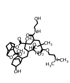 CC1C2CC(O)C(C2)C1CC(CC(C)(CC(CC(C)(C)C(=O)OCCN(C)C)C(=O)NCCO)C(=O)OC1C2CC3C(=O)OC1C3C2)C(N)=O